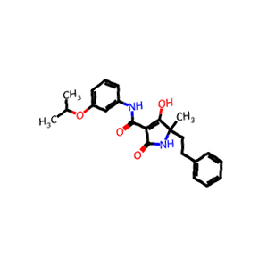 CC(C)Oc1cccc(NC(=O)C2=C(O)C(C)(CCc3ccccc3)NC2=O)c1